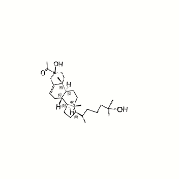 CC(=O)[C@]1(O)CC[C@@]2(C)C(=CC[C@H]3[C@@H]4CC[C@H](C(C)CCCC(C)(C)O)[C@@]4(C)CC[C@@H]32)C1